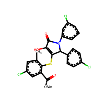 COC(=O)c1cc(Cl)cc(C)c1SC1=C(O)C(=O)N(c2cccc(Cl)c2)C1c1ccc(Cl)cc1